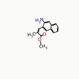 CCOC(=O)C(C)=Cc1cc2ccccc2cc1N